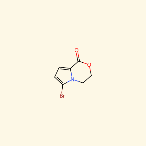 O=C1OCCn2c(Br)ccc21